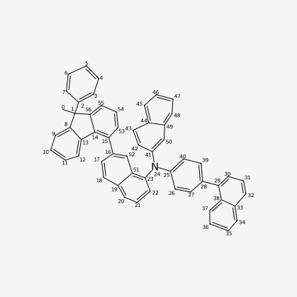 CC1(c2ccccc2)c2ccccc2-c2c(-c3ccc4cccc(N(c5ccc(-c6cccc7ccccc67)cc5)c5ccc6ccccc6c5)c4c3)cccc21